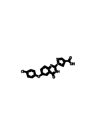 O=C(O)c1cnn(-c2nc3ccc(Oc4ccc(Cl)cc4)cc3c(=O)[nH]2)c1